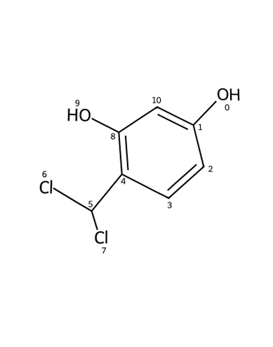 Oc1ccc(C(Cl)Cl)c(O)c1